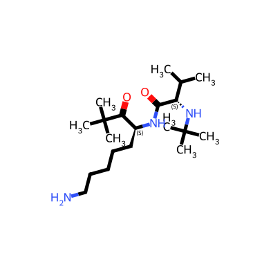 CC(C)[C@H](NC(C)(C)C)C(=O)N[C@@H](CCCCCN)C(=O)C(C)(C)C